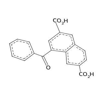 O=C(O)c1cc(C(=O)c2ccccc2)c2cc(C(=O)O)ccc2c1